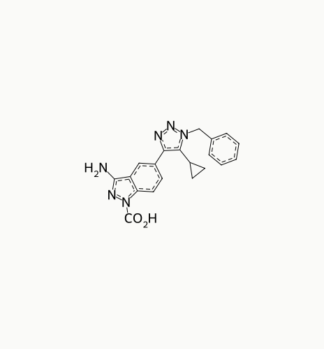 Nc1nn(C(=O)O)c2ccc(-c3nnn(Cc4ccccc4)c3C3CC3)cc12